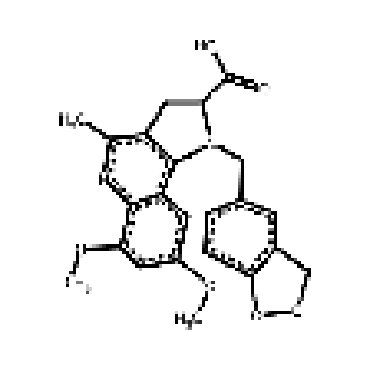 COc1cc(OC)c2nc(C)c3c(c2c1)N(Cc1ccc2c(c1)COO2)C(C(=O)O)C3